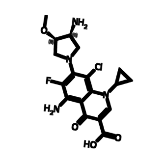 CO[C@@H]1CN(c2c(F)c(N)c3c(=O)c(C(=O)O)cn(C4CC4)c3c2Cl)C[C@@H]1N